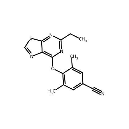 CCc1nc(Oc2c(C)cc(C#N)cc2C)c2ncsc2n1